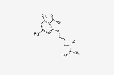 C=C(C)C(=O)OCCOc1cc(O)cc(C)c1C(=O)O